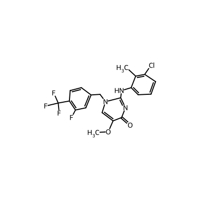 COc1cn(Cc2ccc(C(F)(F)F)c(F)c2)c(Nc2cccc(Cl)c2C)nc1=O